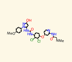 CNCC(=O)Nc1cc(Oc2ccc(NC(=O)Nc3cc(O)nn3-c3ccc(OC)cc3)c(Cl)c2Cl)ccn1